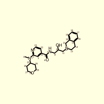 CN(c1cc(C(=O)NCC(O)CN2CCc3ccccc3C2)ccn1)C1CCOCC1